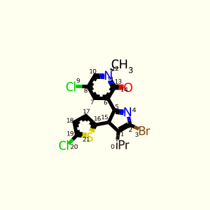 CC(C)C1=C(Br)N=C(c2cc(Cl)cn(C)c2=O)C1c1ccc(Cl)s1